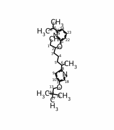 CCC(CCCC(C)c1ccc(OCC(C)(C)C)cn1)Oc1cccc(C(C)C)n1